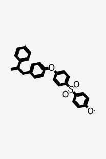 CC(Cc1ccc(Oc2ccc(S(=O)(=O)c3ccc([O])cc3)cc2)cc1)c1cc[c]cc1